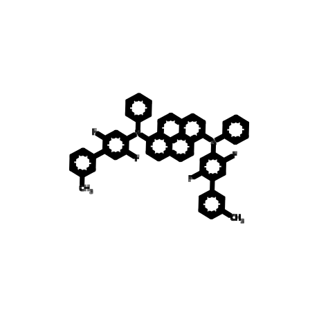 Cc1cccc(-c2cc(F)c(N(c3ccccc3)c3ccc4ccc5c(N(c6ccccc6)c6cc(F)c(-c7cccc(C)c7)cc6F)ccc6ccc3c4c65)cc2F)c1